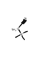 C[N+](C)(C)OC#N.[SiH4]